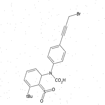 CC(C)(C)C1=CC=CC(N(C(=O)O)c2ccc(C#CCBr)cc2)C1=S(=O)=O